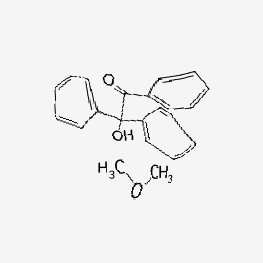 COC.O=C(c1ccccc1)C(O)(c1ccccc1)c1ccccc1